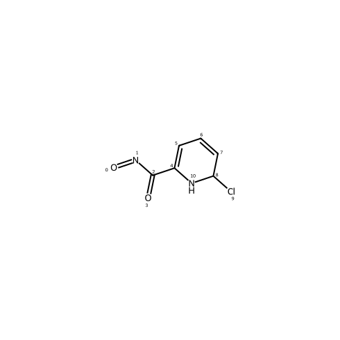 O=NC(=O)C1=CC=CC(Cl)N1